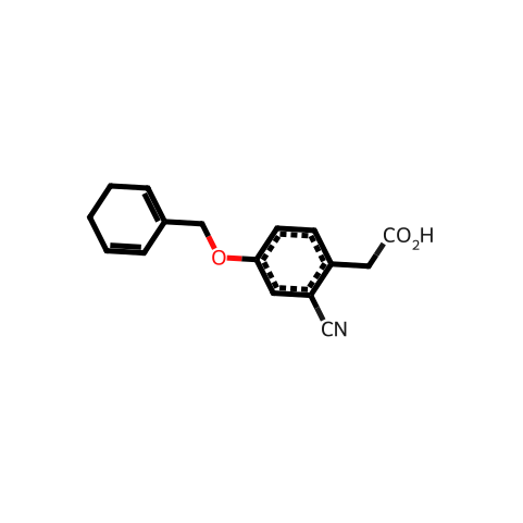 N#Cc1cc(OCC2=CCCC=C2)ccc1CC(=O)O